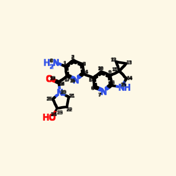 Nc1ccc(-c2cnc3c(c2)C2(CC2)CN3)nc1C(=O)N1CC[C@@H](O)C1